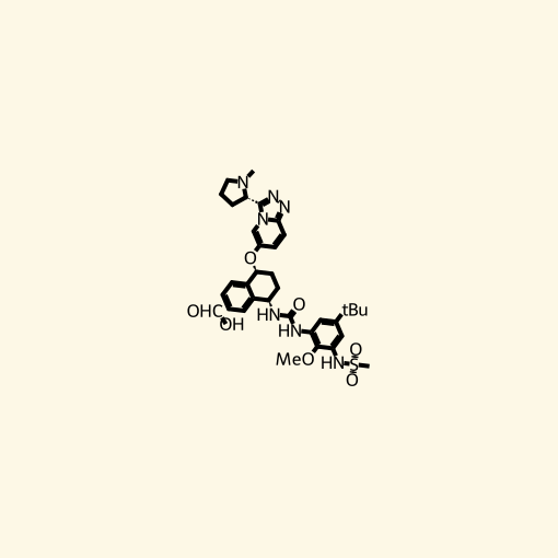 COc1c(NC(=O)N[C@H]2CC[C@@H](Oc3ccc4nnc([C@@H]5CCCN5C)n4c3)c3ccccc32)cc(C(C)(C)C)cc1NS(C)(=O)=O.O=CO